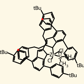 C[SiH](C)[Zr]([Cl])([Cl])([CH]1C(CCc2ccccc2)=Cc2c(-c3ccc(C(C)(C)C)cc3)ccc(-c3ccc(C(C)(C)C)cc3)c21)[CH]1C(CCc2ccccc2)=Cc2c(-c3ccc(C(C)(C)C)cc3)ccc(-c3ccc(C(C)(C)C)cc3)c21